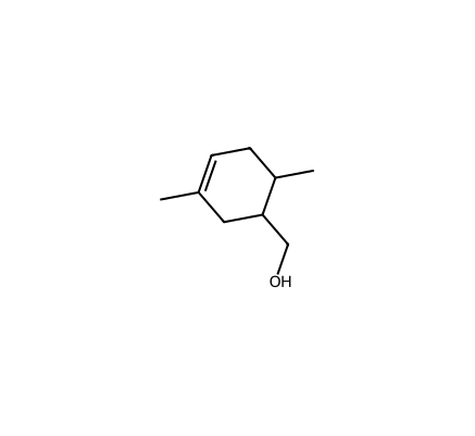 CC1=CCC(C)C(CO)C1